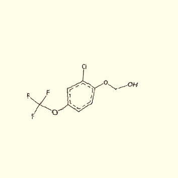 OCOc1ccc(OC(F)(F)F)cc1Cl